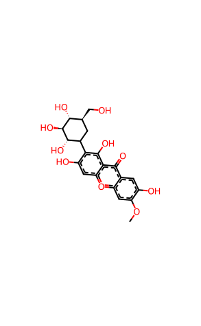 COc1cc2oc3cc(O)c(C4C[C@H](CO)[C@@H](O)[C@H](O)[C@H]4O)c(O)c3c(=O)c2cc1O